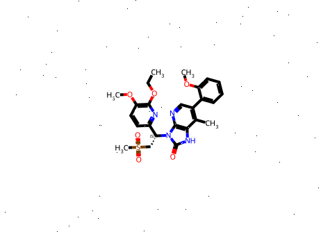 CCOc1nc([C@@H](CS(C)(=O)=O)n2c(=O)[nH]c3c(C)c(-c4ccccc4OC)cnc32)ccc1OC